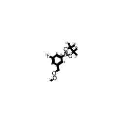 COOCc1cc(F)cc(B2OC(C)(C)C(C)(C)O2)c1